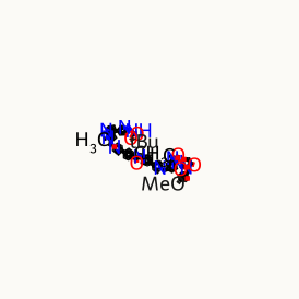 COc1ccc(CN2C(=O)CCC(n3c(=O)n(C)c4cc(CN5CCC(c6ccc(N(C)C(=O)c7ccc(C8CCN(Cc9cc%10c(-c%11ccc(NC(=O)OC(C)(C)C)nc%11)ccnc%10n9C)CC8)cc7)cc6)CC5)ccc43)C2=O)cc1